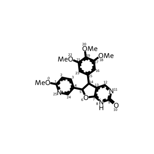 COc1ccc(C2Oc3[nH]c(=O)ncc3C2c2cc(OC)c(OC)c(OC)c2)cn1